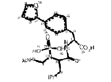 CC(=O)NCN(C(CC(C)C)C(=O)NC(Cc1ccc(-c2ccco2)cc1)C(=O)O)P(=O)(O)O